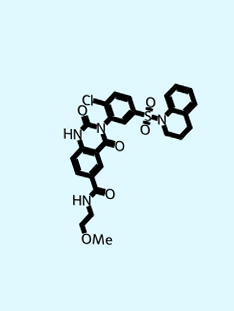 COCCNC(=O)c1ccc2[nH]c(=O)n(-c3cc(S(=O)(=O)N4CCCc5ccccc54)ccc3Cl)c(=O)c2c1